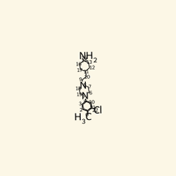 Cc1ccc(N2CCN(CCC3CCC(N)CC3)CC2)cc1Cl